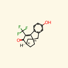 O=C1C(C(F)(F)F)=C2c3ccc(O)cc3C[C@]23CC[C@@H]1C3